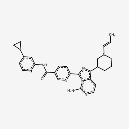 CC=CN1CCCC(c2nc(-c3ccc(C(=O)Nc4cc(C5CC5)ccn4)cn3)n3c(N)nccc23)C1